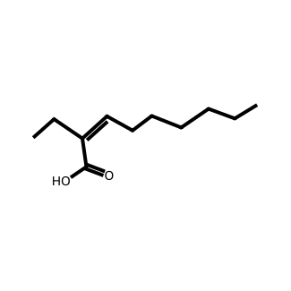 CCCCCCC=C(CC)C(=O)O